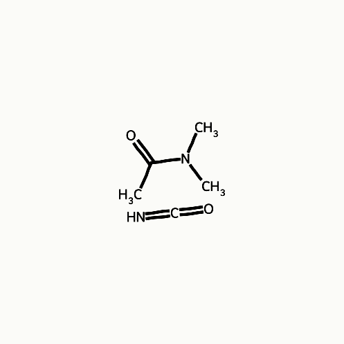 CC(=O)N(C)C.N=C=O